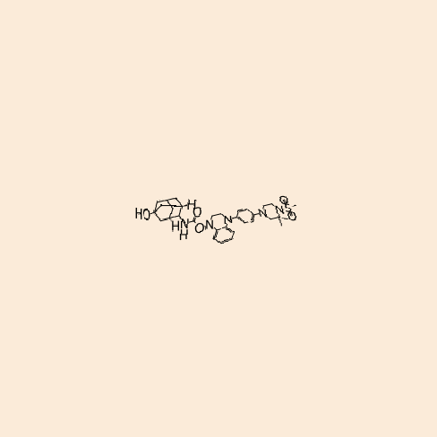 CC1(C)CN(c2ccc(N3CCN(OC(=O)NC4[C@@H]5CC6C[C@H]4CC(O)(C6)C5)c4ccccc43)cc2)CCN1S(C)(=O)=O